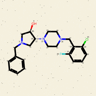 O[C@@H]1CN(Cc2ccccc2)C[C@H]1N1CCN(Cc2c(F)cccc2Cl)CC1